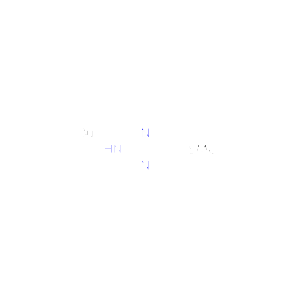 CC[C@@H](C)CNc1ncc(SC)cn1